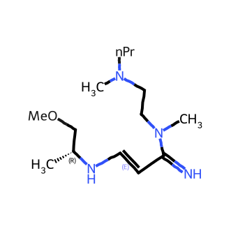 CCCN(C)CCN(C)C(=N)/C=C/N[C@H](C)COC